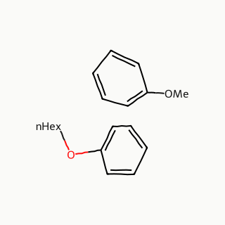 CCCCCCOc1ccccc1.COc1ccccc1